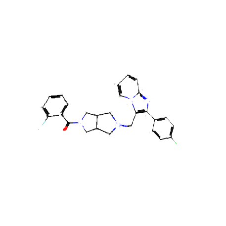 O=C(c1ccccc1F)N1CC2CN(Cc3c(-c4ccc(Cl)cc4)nc4ccccn34)CC2C1